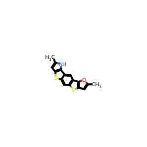 Cc1cc2sc3cc4sc5cc(C)oc5c4cc3c2[nH]1